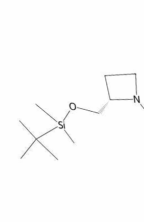 CC(C)(C)[Si](C)(C)OC[C@@H]1CCN1C=O